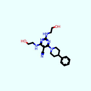 N#Cc1c(NCCO)nc(NCCO)nc1N1CCC(c2ccccc2)CC1